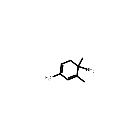 CC1=CC(C(F)(F)F)=CCC1(C)N